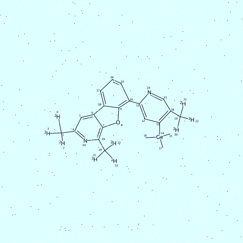 [2H]C([2H])([2H])c1cc2c(oc3c(-c4c[c]([Ge]([CH3])([CH3])[CH3])c(C([2H])([2H])[2H])cn4)cccc32)c(C([2H])([2H])[2H])n1